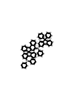 c1ccc(N(c2ccccc2)c2cccc3c2-c2ccccc2C32c3ccccc3-c3c2cc(N(c2ccccc2)c2ccc4c(c2)-c2ccccc2C4(c2ccccc2)c2ccccc2)c2ccccc32)cc1